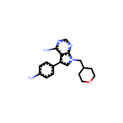 Nc1ccc(-c2cn(CC3CCOCC3)c3ncnc(N)c23)cc1